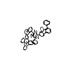 c1ccc(-c2nc(-c3ccc4c(c3)oc3c(-c5ccccc5)cccc34)nc(-c3cccc4oc5ccc(-c6cccc7c8ccccc8n(-c8ccccc8)c67)cc5c34)n2)cc1